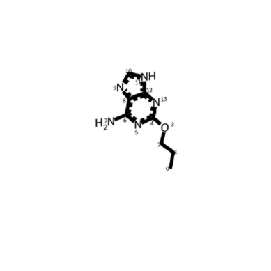 CCCOc1nc(N)c2nc[nH]c2n1